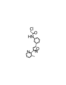 Cc1cccnc1-c1cc(-c2cccc(NC(=O)CCl)c2)on1